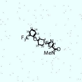 CNC(=O)c1cnc(N2CCC(Oc3ccccc3C(F)(F)F)CC2)s1